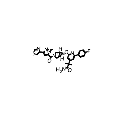 Cn1nc(-c2cscn2)cc1C(=O)N1C[C@@H]2[C@H](C1)[C@H]2Oc1cc(C(C)(C)C(N)=O)cc(-c2ccc(F)cc2)n1